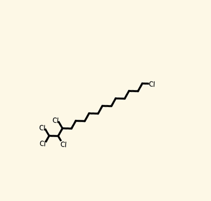 ClCCCCCCCCCCCCC(Cl)C(Cl)C(Cl)Cl